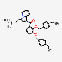 CCC(CCc1cc(C(=O)c2cccc(OCc3ccc(CC(C)C)cc3)c2OCc2ccc(CC(C)C)cc2)c2ccccn12)C(=O)O